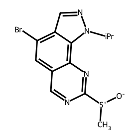 CC(C)n1ncc2c(Br)cc3cnc([S+](C)[O-])nc3c21